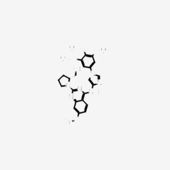 COc1cc(-n2cnc(Nc3nc(N4CCC[C@H]4CO)nc4cc(OC(C)C)ccc34)c2)cc(OC)c1OC